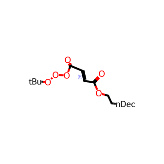 CCCCCCCCCCCCOC(=O)/C=C/C(=O)OOOC(C)(C)C